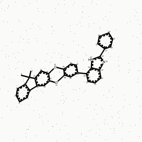 CC1(C)c2ccccc2-c2cc3c(cc21)Oc1ccc(-c2cccc4nc(-c5ccccc5)[nH]c24)cc1O3